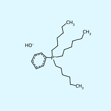 CCCCCC[P+](CCCCCC)(CCCCCC)c1ccccc1.[OH-]